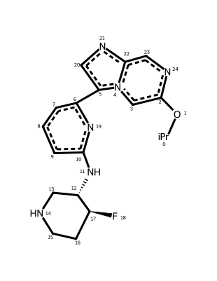 CC(C)Oc1cn2c(-c3cccc(N[C@H]4CNCC[C@@H]4F)n3)cnc2cn1